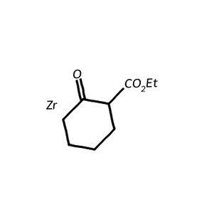 CCOC(=O)C1CCCCC1=O.[Zr]